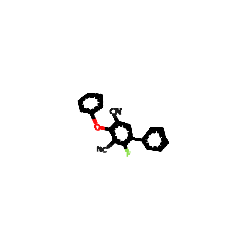 N#Cc1cc(-c2ccccc2)c(F)c(C#N)c1Oc1ccccc1